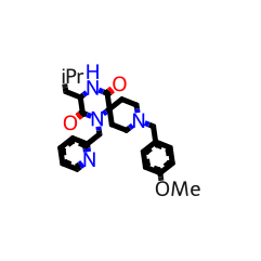 COc1ccc(CN2CCC3(CC2)C(=O)NC(CC(C)C)C(=O)N3Cc2ccccn2)cc1